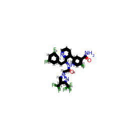 NC(=O)c1cc(-c2cccnc2C(Cc2cc(F)cc(F)c2)NC(=O)Cn2cc(C(F)F)c(C(F)(F)F)n2)ccc1F